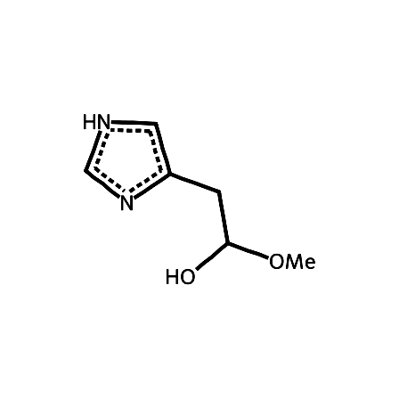 COC(O)Cc1c[nH]cn1